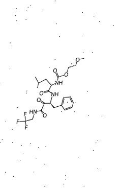 COCCOC(=O)NC(CC(C)C)C(=O)N[C@@H](Cc1ccccc1)C(=O)C(=O)NCC(F)(F)F